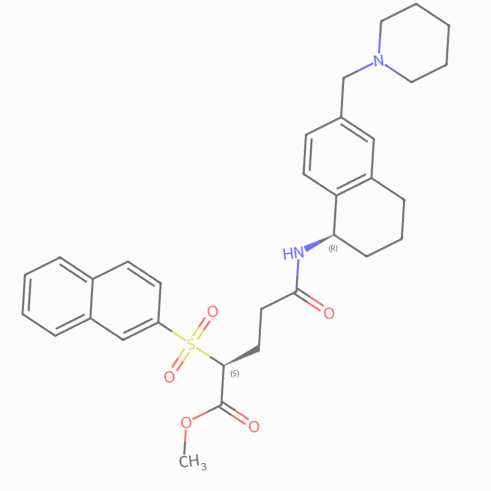 COC(=O)[C@H](CCC(=O)N[C@@H]1CCCc2cc(CN3CCCCC3)ccc21)S(=O)(=O)c1ccc2ccccc2c1